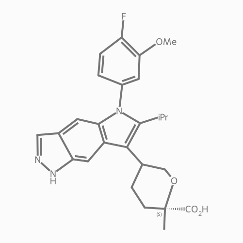 COc1cc(-n2c(C(C)C)c(C3CC[C@@](C)(C(=O)O)OC3)c3cc4[nH]ncc4cc32)ccc1F